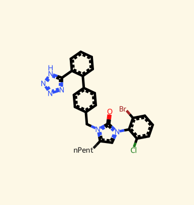 CCCCCc1cn(-c2c(Cl)cccc2Br)c(=O)n1Cc1ccc(-c2ccccc2-c2nnn[nH]2)cc1